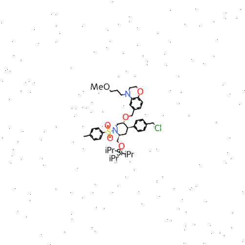 COCCCN1CCOc2ccc(CO[C@H]3CN(S(=O)(=O)c4ccc(C)cc4)[C@H](CO[Si](C(C)C)(C(C)C)C(C)C)C[C@@H]3c3ccc(CCl)cc3)cc21